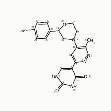 Cc1nnc(-c2c[nH]c(=O)[nH]c2=O)cc1N1CCOC(c2ccc(F)cc2)C1